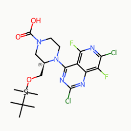 CC(C)(C)[Si](C)(C)OC[C@H]1CN(C(=O)O)CCN1c1nc(Cl)nc2c(F)c(Cl)nc(F)c12